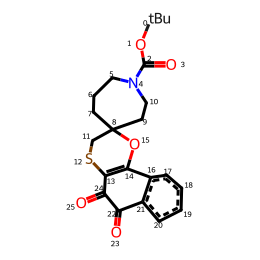 CC(C)(C)OC(=O)N1CCCC2(CC1)CSC1=C(O2)c2ccccc2C(=O)C1=O